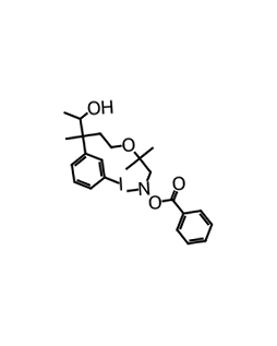 CC(O)C(C)(CCOC(C)(C)CN(C)OC(=O)c1ccccc1)c1cccc(I)c1